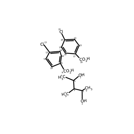 CC(O)C(C)C(C)O.O=C(O)c1ccc(Cl)cc1.O=C(O)c1ccc(Cl)cc1